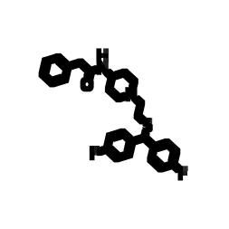 O=C(Cc1ccccc1)NC1CCN(CCSC(c2ccc(F)cc2)c2ccc(F)cc2)CC1